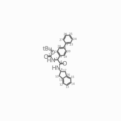 CC(C)(C)OC(=O)NC(C(=O)NC1Cc2ccccc2C1)c1ccc(-c2ccccc2)cc1